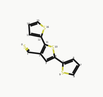 S=Cc1cc(-c2cccs2)sc1-c1cccs1